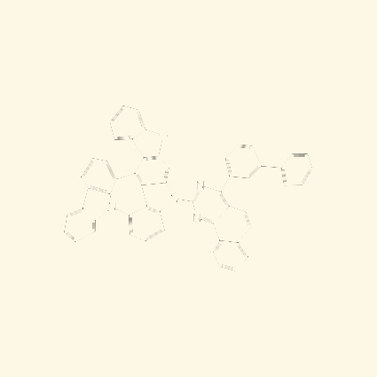 c1ccc(-c2cccc(-c3nc(-n4c5cc6oc7ccccc7c6c6c7cccc8c9ccccc9n(c9cccc4c9c65)c87)nc4c3ccc3ccccc34)c2)cc1